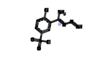 N=N/N=C(\N)c1cc(S(=O)(=O)Cl)ccc1Cl